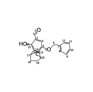 O=Cc1cc(OCc2ccccc2)c2c(c1O)C1CCC2CC1